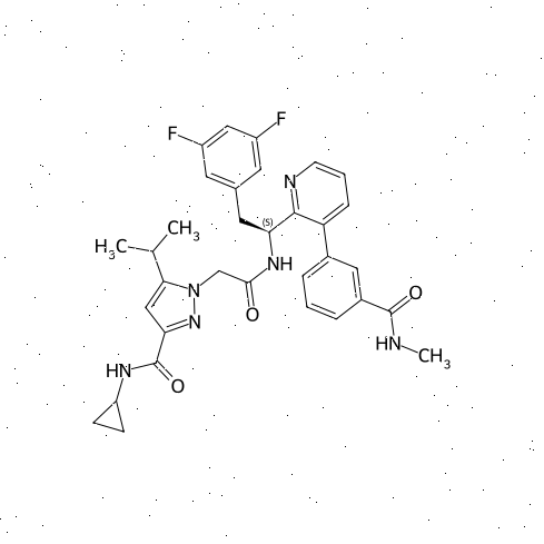 CNC(=O)c1cccc(-c2cccnc2[C@H](Cc2cc(F)cc(F)c2)NC(=O)Cn2nc(C(=O)NC3CC3)cc2C(C)C)c1